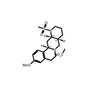 COc1ccc2c(c1)CCN1C[C@H]3CCCN(S(C)(=O)=O)[C@H]3C[C@@H]21.CS(=O)(=O)O